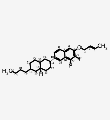 C/C=C/COc1cc2ccc([C@@H]3CC[C@@H]4CC(CCCC)CCC4C3)cc2c(F)c1F